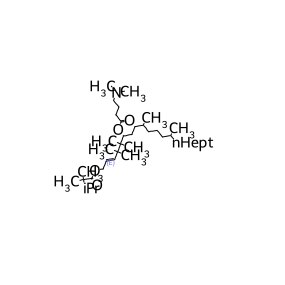 CCCCCCCC(C)CCCC(C)CCC(OC(=O)CCCN(C)C)C(C)(C)C(C)(C)/C=C/COC(=O)C(C)(C)C(C)C